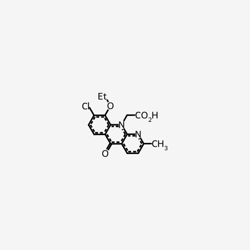 CCOc1c(Cl)ccc2c(=O)c3ccc(C)nc3n(CC(=O)O)c12